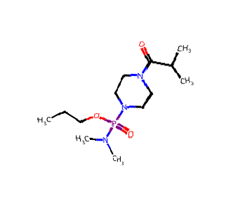 CCCOP(=O)(N(C)C)N1CCN(C(=O)C(C)C)CC1